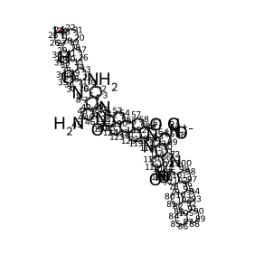 Nc1ccc2c(c1)c(CN1CC3CCC4C5CCC6C7CCC[C@H]8CCCC(C78)C7CCC(C8CCC(C1)[C@@H]3C84)C5[C@H]76)c1cc(N)cc3c1c2nc1c2ccc4c5ccc6c(=O)n7c8cc([N+](=O)[O-])cc9c(CN%10CC%11CCC%12C%13CCC%14C%15CCCC%16CCCC(C%17CCC(C%18CCC(C%10)C%11C%12%18)C%13C%14%17)C%16%15)c%10cc([N+](=O)[O-])ccc%10c(nc7c7ccc(c%10ccc(c(=O)n31)c2c%104)c5c67)c98